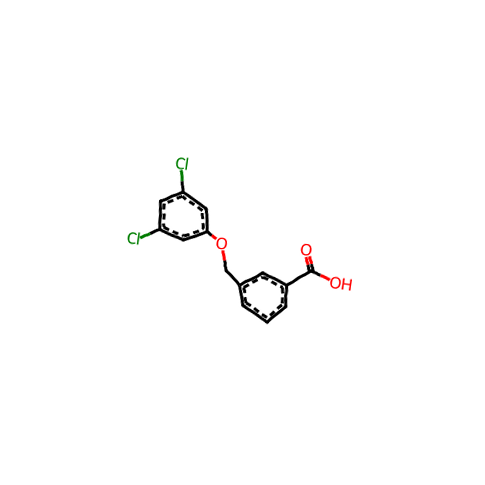 O=C(O)c1cccc(COc2cc(Cl)cc(Cl)c2)c1